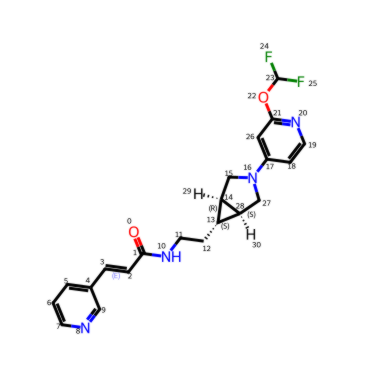 O=C(/C=C/c1cccnc1)NCC[C@@H]1[C@H]2CN(c3ccnc(OC(F)F)c3)C[C@@H]12